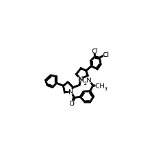 CC(N)c1cccc(C(=O)N2CC(c3ccccc3)CC2CN2CCC(c3ccc(Cl)c(Cl)c3)C2)c1